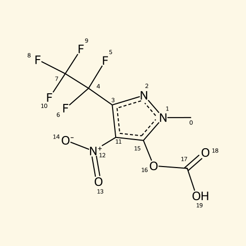 Cn1nc(C(F)(F)C(F)(F)F)c([N+](=O)[O-])c1OC(=O)O